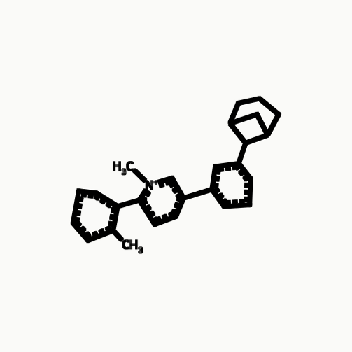 Cc1ccccc1-c1ccc(-c2cccc(C3C4CCCC3C4)c2)c[n+]1C